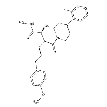 COc1ccc(CCC[C@@H](C(=O)N2CCN(c3ccccc3F)CC2)[C@H](O)C(=O)NO)cc1